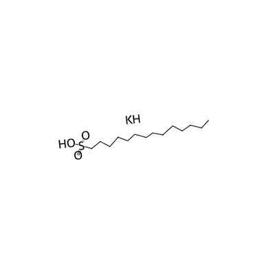 CCCCCCCCCCCCCCS(=O)(=O)O.[KH]